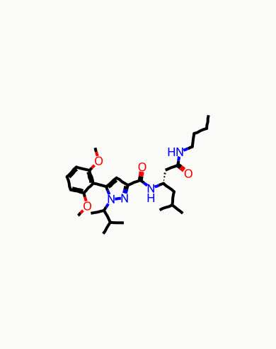 CCCCNC(=O)C[C@H](CC(C)C)NC(=O)c1cc(-c2c(OC)cccc2OC)n(C(C)C(C)C)n1